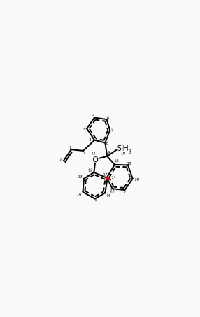 C=CCc1ccccc1C([SiH3])(Oc1ccccc1)c1ccccc1